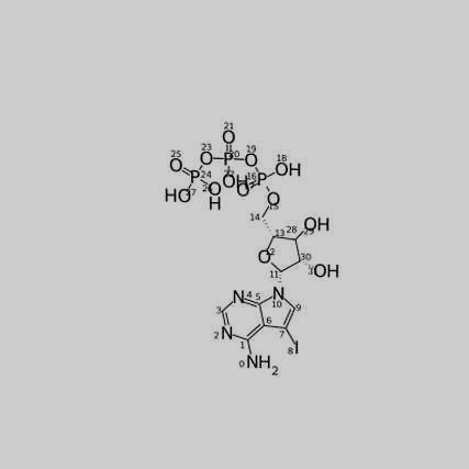 Nc1ncnc2c1c(I)cn2[C@@H]1O[C@H](COP(=O)(O)OP(=O)(O)OP(=O)(O)O)C(O)[C@@H]1O